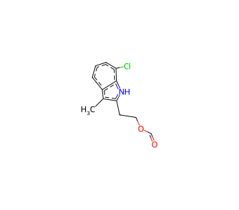 Cc1c(CCOC=O)[nH]c2c(Cl)cccc12